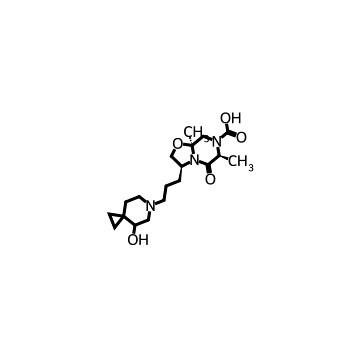 C[C@H]1C(=O)N2[C@@H](CCCN3CCC4(CC4)C(O)C3)CO[C@@]2(C)CN1C(=O)O